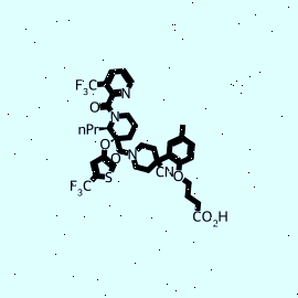 CCC[C@H]1N(C(=O)c2ncccc2C(F)(F)F)CCC[C@@]1(Oc1csc(C(F)(F)F)c1)C(=O)N1CCC(C#N)(c2cc(C)ccc2OCCCC(=O)O)CC1